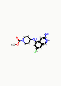 CC(C)(C)OC(=O)N1CCC(Nc2cc(Cl)cc3cnc(N)cc23)CC1